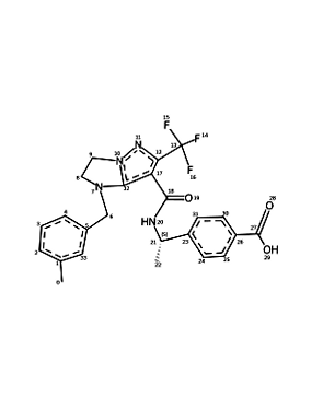 Cc1cccc(CN2CCn3nc(C(F)(F)F)c(C(=O)N[C@@H](C)c4ccc(C(=O)O)cc4)c32)c1